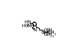 CC(C)(C)[Si](C)(C)OCCCc1nccc2c(C(=N)NO)cccc12